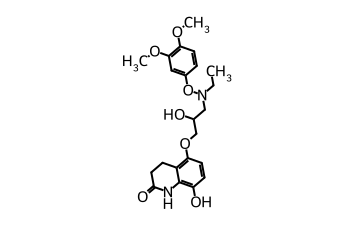 CCN(CC(O)COc1ccc(O)c2c1CCC(=O)N2)Oc1ccc(OC)c(OC)c1